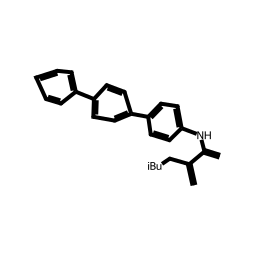 C=C(CC(C)CC)C(=C)Nc1ccc(-c2ccc(-c3ccccc3)cc2)cc1